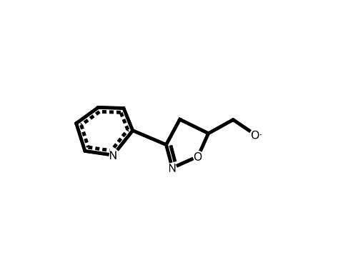 [O]CC1CC(c2ccccn2)=NO1